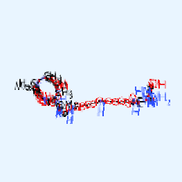 CO[C@H]1C[C@@H]2CCC[C@@](O)(O2)C(=O)C(=O)N2CCCC[C@H]2C(=O)O[C@H]([C@H](N)C[C@@H]2CCC(n3cc(-c4cccc(C(=O)NCCOCCOCCOCCOCCC(=O)NCCOCCOCCOCCOCCC(=O)NCCCCn5nc(-c6cc7cc(O)ccc7[nH]6)c6c(N)ncnc65)c4)nn3)[C@H](OC)C2)CC(=O)[C@H](C)/C=C(\C)[C@@H](O)[C@@H](O)C(=O)[C@H](C)C[C@H](C)/C=C/C=C/C=C/1C